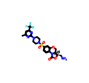 Cc1cc(C(F)(F)F)nc(N2CCN(S(=O)(=O)c3ccc4c(c3)OC[C@H]3[C@H](CN)OC(=O)N43)CC2)n1